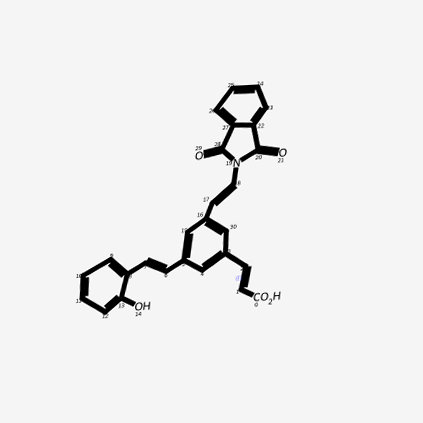 O=C(O)/C=C/c1cc(C=Cc2ccccc2O)cc(C=CN2C(=O)c3ccccc3C2=O)c1